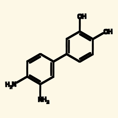 Nc1ccc(-c2ccc(O)c(O)c2)cc1N